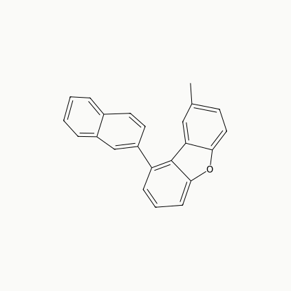 Cc1ccc2oc3cccc(-c4ccc5ccccc5c4)c3c2c1